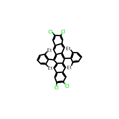 CCc1cccc(CC)c1-c1c2cc3cc(Cl)c(Cl)cc3cc2c(-c2c(CC)cccc2CC)c2cc3cc(Cl)c(Cl)cc3cc12